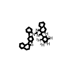 [2H]c1c([2H])c([2H])c(-c2nc(-n3c4ccccc4c4cc5c(cc43)sc3ccc4ccccc4c35)nc3c2ccc2ccccc23)c([2H])c1[2H]